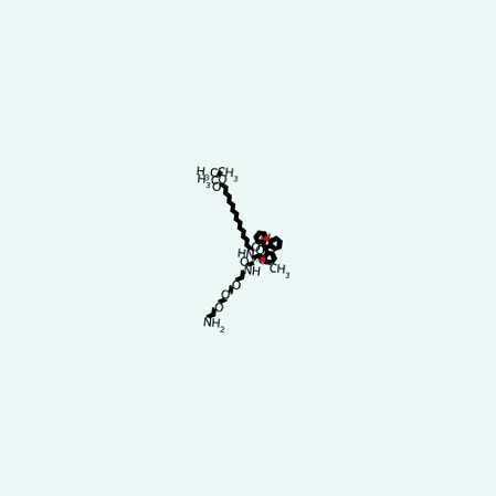 Cc1ccc(C(OC(=O)[C@H](CC(=O)NCCCOCCOCCOCCCN)NC(=O)CCCCCCCCCCCCCCC(=O)OC(C)(C)C)(c2ccccc2)c2ccccc2Cl)cc1